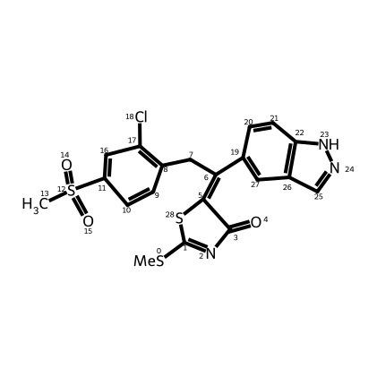 CSC1=NC(=O)C(=C(Cc2ccc(S(C)(=O)=O)cc2Cl)c2ccc3[nH]ncc3c2)S1